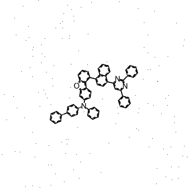 c1ccc(-c2ccc(N(c3ccccc3)c3ccc4c(c3)oc3cccc(-c5ccc(-c6cc(-c7ccccc7)nc(-c7ccccc7)n6)c6ccccc56)c34)cc2)cc1